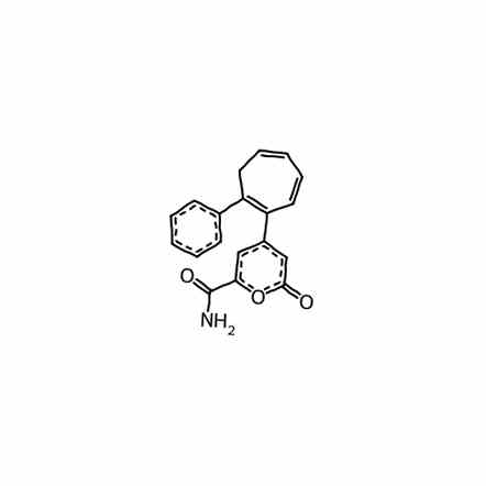 NC(=O)c1cc(C2=C(c3ccccc3)CC=CC=C2)cc(=O)o1